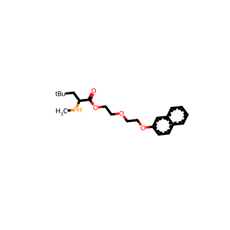 CPC(CC(C)(C)C)C(=O)OCCOCCOc1ccc2ccccc2c1